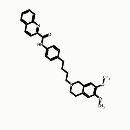 COc1cc2c(cc1OC)CN(CCCCc1ccc(NC(=O)c3ccc4ccccc4n3)cc1)CC2